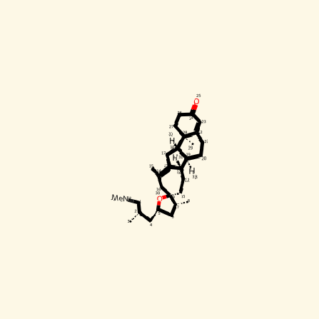 CNC[C@@H](C)C[C@@H]1C[C@@H](C)[C@@]2(CC[C@@H]3C(=C(C)C2)C[C@H]2[C@H]3CCC3=CC(=O)CC[C@@]32C)O1